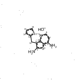 Cl.Nc1sc2c(N)ccnc2c1Cc1cccs1